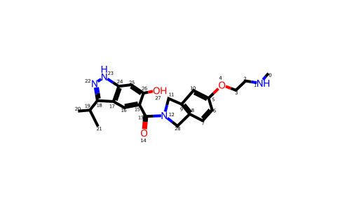 CNCCOc1ccc2c(c1)CN(C(=O)c1cc3c(C(C)C)n[nH]c3cc1O)C2